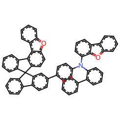 c1ccc(-c2ccccc2N(c2ccc(-c3ccc4c(c3)C3(c5ccccc5-4)c4ccccc4-c4c3ccc3oc5ccccc5c43)cc2)c2cccc3c2oc2ccccc23)cc1